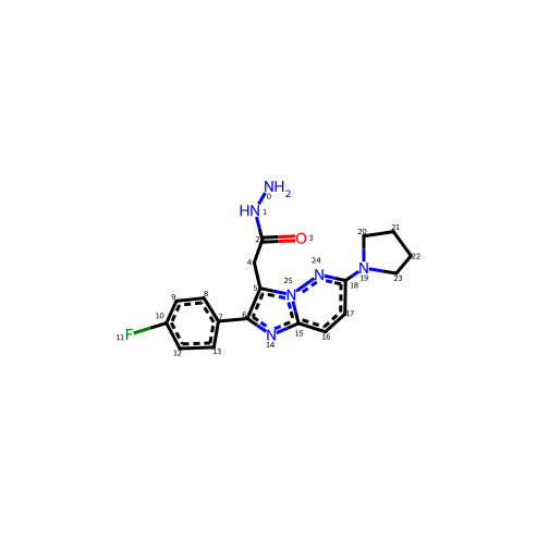 NNC(=O)Cc1c(-c2ccc(F)cc2)nc2ccc(N3CCCC3)nn12